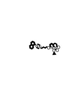 O=C1CCc2ccc(OCCCCN3CCN(c4cccc5ccccc45)CC3)nc2N1C(=O)OC1CC1